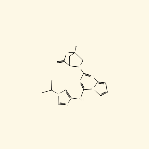 CC(C)n1cnc(Nc2nc(N3C[C@@H]4C[C@@H]3C(=O)O4)nc3cccn23)c1